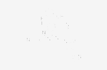 CN1CCC[C@H]1COc1nc(N2CCN(C(=O)/C(F)=C/c3nccs3)[C@@H](CC#N)C2)c2ccc(-c3c(O)cccc3F)c(F)c2n1